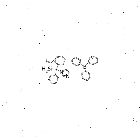 CC=C(C)[SiH2]C(c1ccccc1)(c1ccccc1)n1ccnc1.c1ccc(B(c2ccccc2)c2ccccc2)cc1